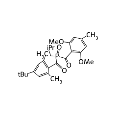 COc1cc(C)cc(OC)c1C(=O)P(=O)(CC(C)C)C(=O)c1c(C)cc(C(C)(C)C)cc1C